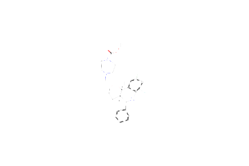 CC(C)(C)OC(=O)N1CCN(C[C@H]2CC[C@@H]3[C@H](O2)c2cc(Cl)cc(F)c2N[C@H]3c2ccccc2)CC1